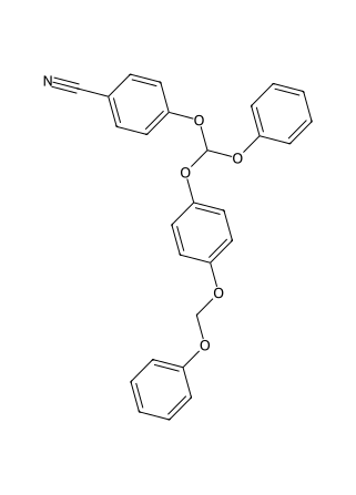 N#Cc1ccc(OC(Oc2ccccc2)Oc2ccc(OCOc3ccccc3)cc2)cc1